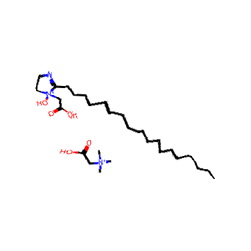 CCCCCCCCCCCCCCCCCCC1=NCC[N+]1(O)CC(=O)O.C[N+](C)(C)CC(=O)O